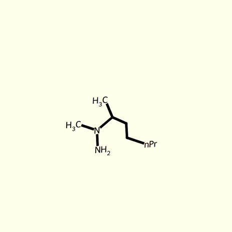 CCCCCC(C)N(C)N